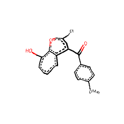 CCc1oc2c(O)cccc2c1C(=O)c1ccc(OC)cc1